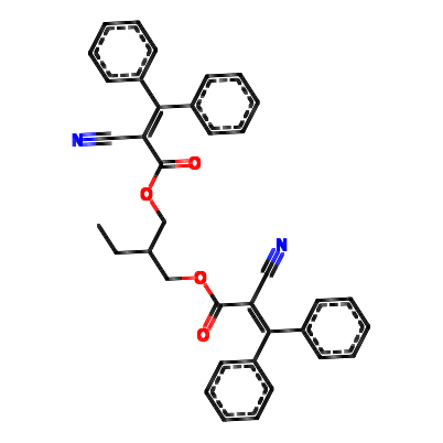 CCC(COC(=O)C(C#N)=C(c1ccccc1)c1ccccc1)COC(=O)C(C#N)=C(c1ccccc1)c1ccccc1